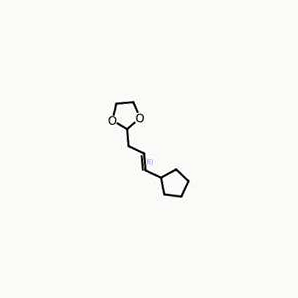 C(=C\C1CCCC1)/CC1OCCO1